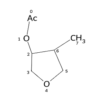 CC(=O)OC1COCC1C